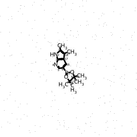 Cc1[nH]c2ncc(B3OC(C)(C)C(C)(C)O3)cc2c1C